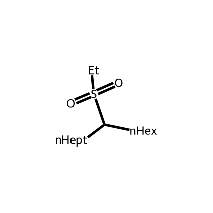 CCCCCCCC(CCCCCC)S(=O)(=O)CC